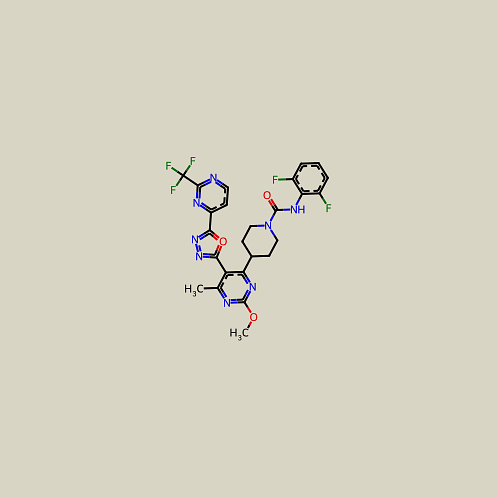 COc1nc(C)c(-c2nnc(-c3ccnc(C(F)(F)F)n3)o2)c(C2CCN(C(=O)Nc3c(F)cccc3F)CC2)n1